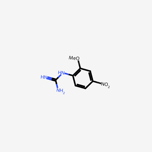 COc1cc([N+](=O)[O-])ccc1NC(=N)N